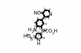 N#Cc1ccncc1-c1ccc(N)c(N(C(=O)O)[C@@H]2CN[C@H](CO)C2)c1